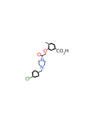 Cc1ccc(C(=O)O)cc1OCC(=O)N1CCN(Cc2ccc(Cl)cc2)CC1